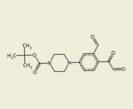 CC(C)(C)OC(=O)N1CCN(c2ccc(C(=O)C=O)c(C=O)c2)CC1